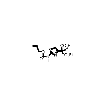 C=CCOC(=O)Nc1nc(C(C)(C(=O)OCC)C(=O)OCC)cs1